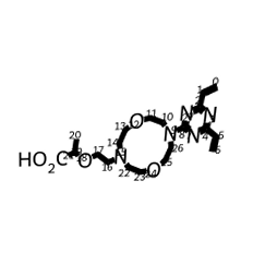 C=Cc1nc(C=C)nc(N2CCOCCN(CCOC(C)C(=O)O)CCOCC2)n1